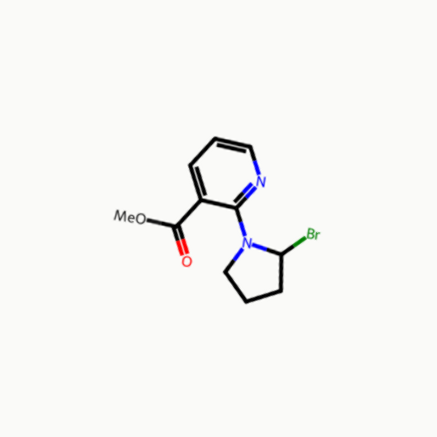 COC(=O)c1cccnc1N1CCCC1Br